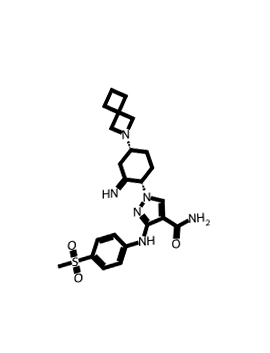 CS(=O)(=O)c1ccc(Nc2nn([C@H]3CC[C@@H](N4CC5(CCC5)C4)CC3=N)cc2C(N)=O)cc1